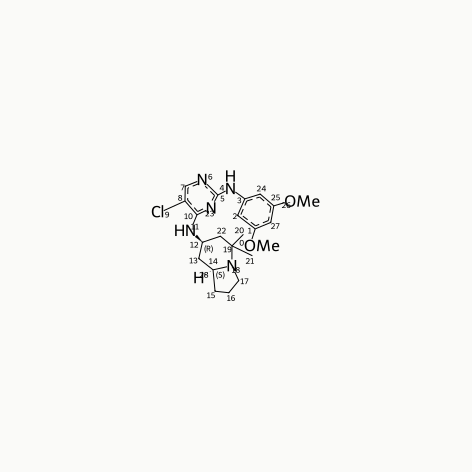 COc1cc(Nc2ncc(Cl)c(N[C@@H]3C[C@@H]4CCCN4C(C)(C)C3)n2)cc(OC)c1